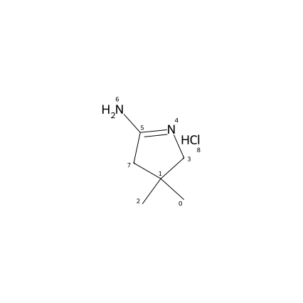 CC1(C)CN=C(N)C1.Cl